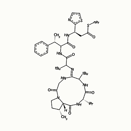 CCCSC(=O)C[C@@H](NC(=O)C(NC(=O)C(/N=C1\NCC(=O)N2CC[C@@H](C)[C@H]2C(=O)N[C@@H](C(C)C)C(=O)NC1C(C)(C)C)C(C)(C)C)[C@@H](C)c1ccccc1)c1nccs1